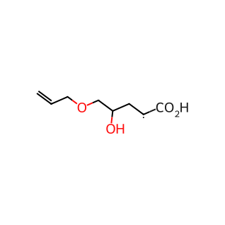 C=CCOCC(O)C[CH]C(=O)O